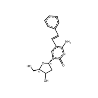 Nc1nc(=O)n([C@H]2CC(O)[C@@H](CO)O2)cc1C=Cc1ccccc1